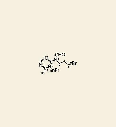 CCCN(C(=O)N(C=O)CCCBr)/C(C)=N\C